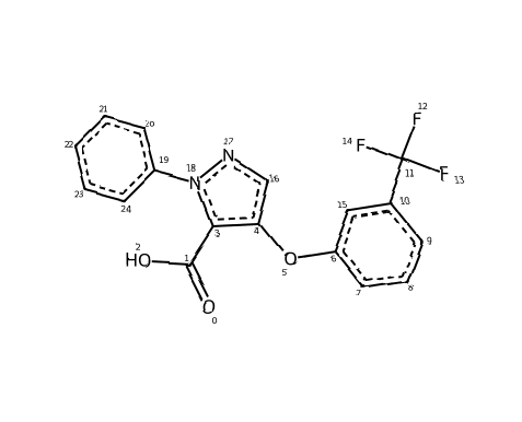 O=C(O)c1c(Oc2cccc(C(F)(F)F)c2)cnn1-c1ccccc1